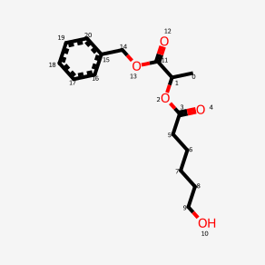 CC(OC(=O)CCCCCO)C(=O)OCc1ccccc1